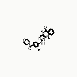 COc1cc(C(=O)N2CCOCC2)ccc1Nc1ncc2c(n1)N(C)c1ccccc1C(=O)N2C